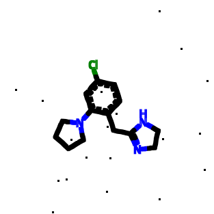 Clc1ccc(CC2=NCCN2)c(N2CCCC2)c1